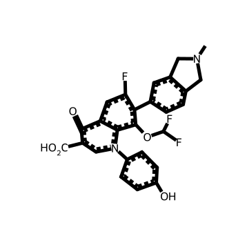 CN1Cc2ccc(-c3c(F)cc4c(=O)c(C(=O)O)cn(-c5ccc(O)cc5)c4c3OC(F)F)cc2C1